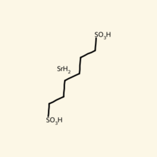 O=S(=O)(O)CCCCCCS(=O)(=O)O.[SrH2]